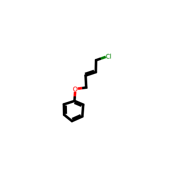 ClCC=CCOc1ccccc1